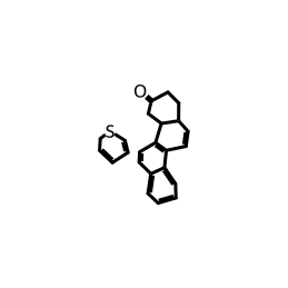 C1=CCSC=C1.O=C1CCC2C=Cc3c(ccc4ccccc34)C2C1